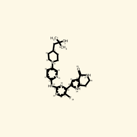 CC(C)(O)CC1CCN(c2ccc(Nc3ncc(F)c(-c4cc5c([nH]4)CCNC5=O)n3)nc2)CC1